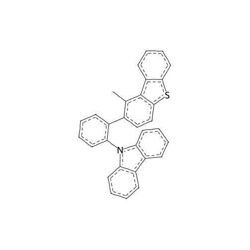 Cc1c(-c2ccccc2-n2c3ccccc3c3ccccc32)ccc2sc3ccccc3c12